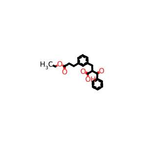 CCOC(=O)CCc1cccc(CC(C(=O)O)C(=O)c2ccccc2)c1